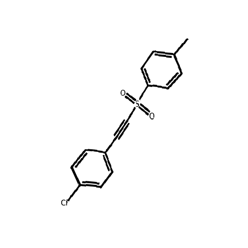 Cc1ccc(S(=O)(=O)C#Cc2ccc(Cl)cc2)cc1